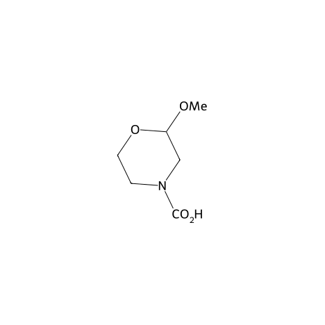 COC1CN(C(=O)O)CCO1